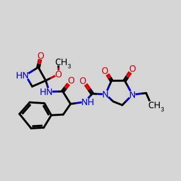 CCN1CCN(C(=O)NC(Cc2ccccc2)C(=O)NC2(OC)CNC2=O)C(=O)C1=O